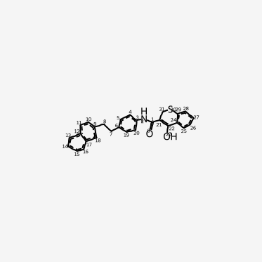 O=C(Nc1ccc(CCc2ccc3ccccc3c2)cc1)C1=C(O)c2ccccc2SC1